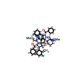 COCCN1[C@H](C(=O)c2ccccc2)[C@H](c2cccc(F)c2C)C(F)(F)[C@]1(C(=O)[C@@]1(C2CCCNC2)N(CCOC)[C@H](C(=O)c2ccccc2)[C@H](c2cccc(F)c2C)C1(F)F)C1CCCNC1